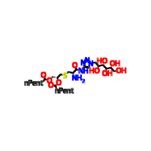 CCCCCC(=O)OC[C@H](CSC[C@@H](N)C(=O)Nc1cn(C[C@H](O)[C@H](O)[C@H](O)[C@H](O)CO)nn1)OC(=O)CCCCC